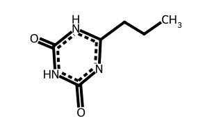 CCCc1nc(=O)[nH]c(=O)[nH]1